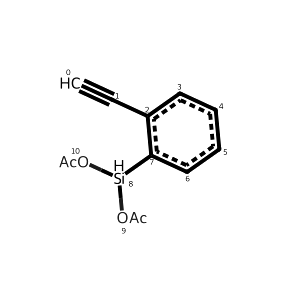 C#Cc1ccccc1[SiH](OC(C)=O)OC(C)=O